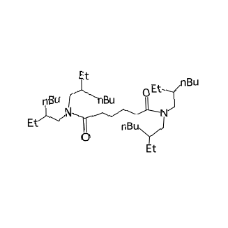 CCCCC(CC)CN(CC(CC)CCCC)C(=O)CCCCC(=O)N(CC(CC)CCCC)CC(CC)CCCC